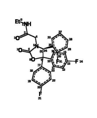 CCNC(=O)CN1C(=O)OC(c2ccc(F)cc2)(c2ccc(F)cc2)[C@@H]1c1ccccc1F